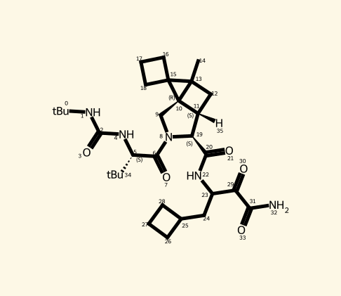 CC(C)(C)NC(=O)N[C@H](C(=O)N1C[C@]23[C@H](CC2(C)C32CCC2)[C@H]1C(=O)NC(CC1CCC1)C(=O)C(N)=O)C(C)(C)C